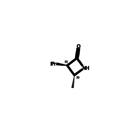 CC(C)[C@H]1C(=O)N[C@@H]1C